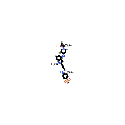 COc1cc(S(C)(=O)=O)ccc1NCC#Cc1cc2c(N[C@@H]3CCN(C(OC)C(C)O)C[C@H]3F)cccc2n1CC(F)(F)F